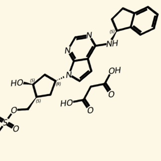 NS(=O)(=O)OC[C@@H]1C[C@@H](n2ccc3c(N[C@H]4CCc5ccccc54)ncnc32)C[C@@H]1O.O=C(O)CC(=O)O